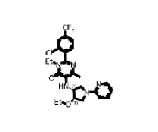 CCO[C@@H]1CN(c2ccccn2)C[C@H]1Nc1c(C)nc(-c2ccc(C(F)(F)F)cc2Cl)n(CC)c1=O